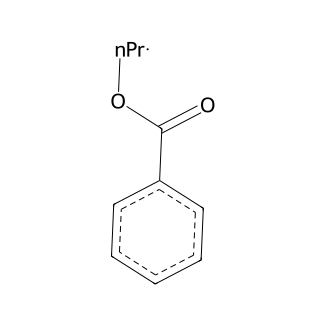 CC[CH]OC(=O)c1ccccc1